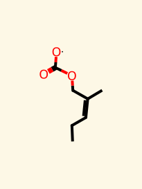 CCC=C(C)COC([O])=O